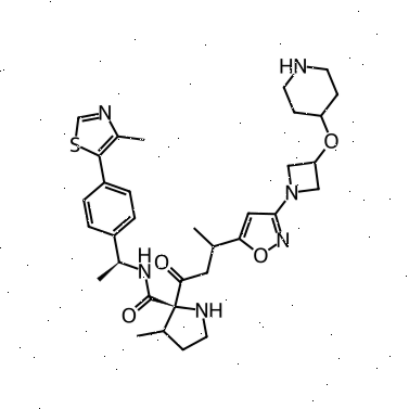 Cc1ncsc1-c1ccc([C@H](C)NC(=O)[C@@]2(C(=O)CC(C)c3cc(N4CC(OC5CCNCC5)C4)no3)NCCC2C)cc1